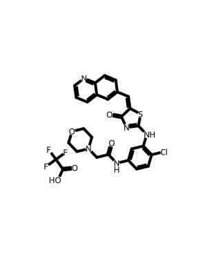 O=C(CN1CCOCC1)Nc1ccc(Cl)c(NC2=NC(=O)C(=Cc3ccc4ncccc4c3)S2)c1.O=C(O)C(F)(F)F